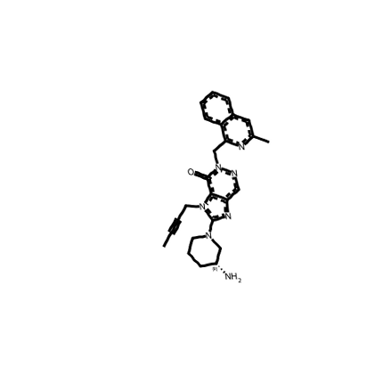 CC#CCn1c(N2CCC[C@@H](N)C2)nc2cnn(Cc3nc(C)cc4ccccc34)c(=O)c21